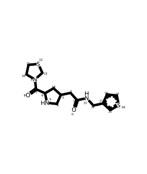 O=C(CC1CNC(C(=O)N2CCSC2)C1)NCc1ccsc1